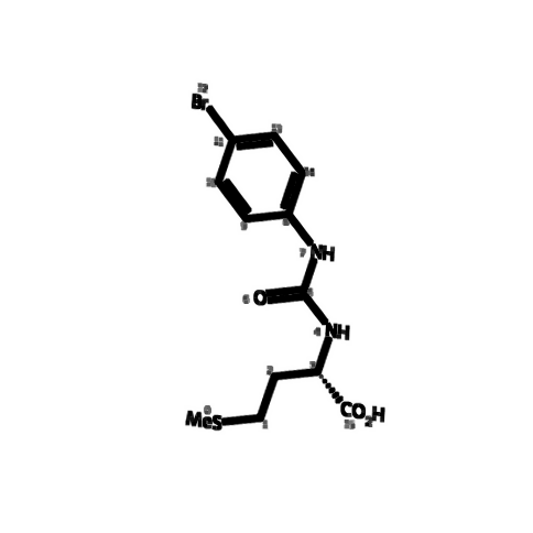 CSCC[C@H](NC(=O)Nc1ccc(Br)cc1)C(=O)O